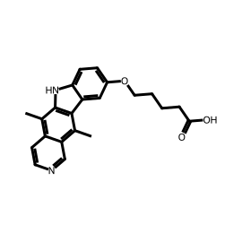 Cc1c2ccncc2c(C)c2c1[nH]c1ccc(OCCCCC(=O)O)cc12